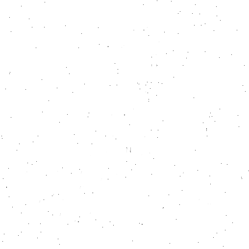 c1ccc2cc(-c3ccc(N(c4ccc(-c5ccc6c(c5)oc5ccccc56)cc4)c4ccc(-c5cc6ccccc6c6ccccc56)cc4)cc3)ccc2c1